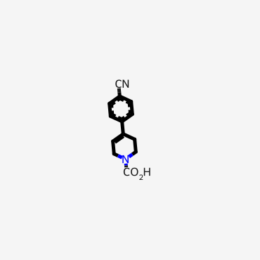 N#Cc1ccc(C2=CCN(C(=O)O)CC2)cc1